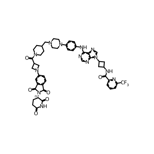 O=C1CC[C@H](N2C(=O)c3ccc(N4CC(C(=O)N5CCC(CN6CCN(c7ccc(Nc8ncnc9c8ncn9C8CC(NC(=O)c9cccc(C(F)(F)F)n9)C8)cc7)CC6)CC5)C4)cc3C2=O)C(=O)N1